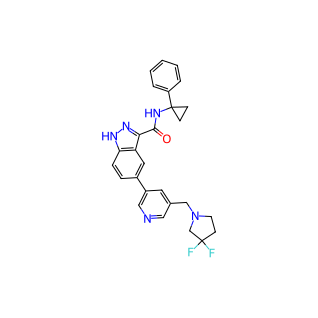 O=C(NC1(c2ccccc2)CC1)c1n[nH]c2ccc(-c3cncc(CN4CCC(F)(F)C4)c3)cc12